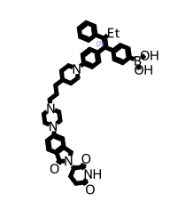 CC/C(=C(\c1ccc(B(O)O)cc1)c1ccc(N2CCC(CCCN3CCN(c4ccc5c(c4)CN(C4CCC(=O)NC4=O)C5=O)CC3)CC2)cc1)c1ccccc1